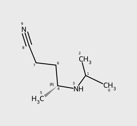 CC(C)N[C@H](C)CCC#N